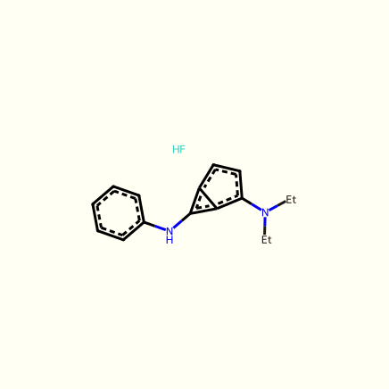 CCN(CC)c1ccc2c(Nc3ccccc3)c1-2.F